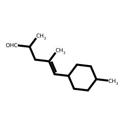 C/C(=C\C1CCC(C)CC1)CC(C)C=O